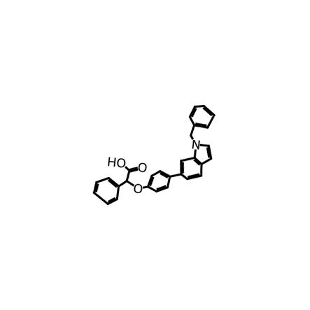 O=C(O)C(Oc1ccc(-c2ccc3ccn(Cc4ccccc4)c3c2)cc1)c1ccccc1